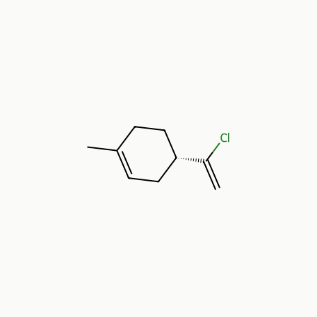 C=C(Cl)[C@@H]1CC=C(C)CC1